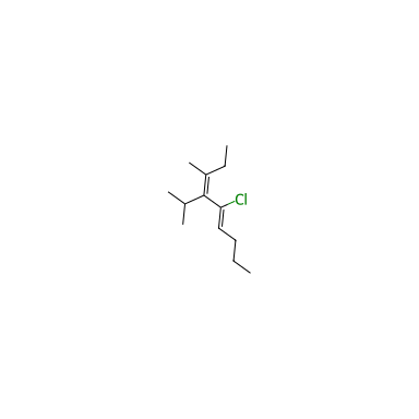 CCC/C=C(Cl)/C(=C(/C)CC)C(C)C